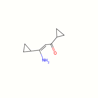 N/C(=C\C(=O)C1CC1)C1CC1